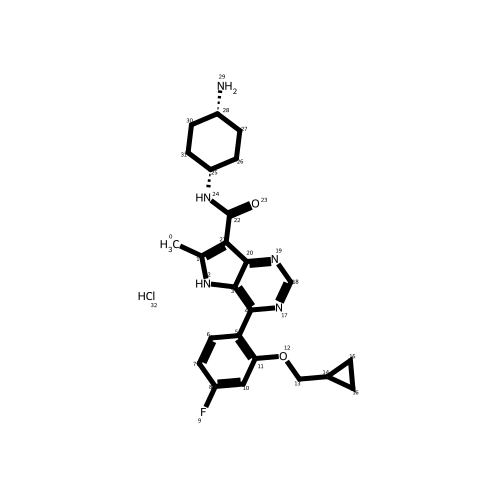 Cc1[nH]c2c(-c3ccc(F)cc3OCC3CC3)ncnc2c1C(=O)N[C@H]1CC[C@@H](N)CC1.Cl